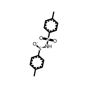 Cc1ccc([S+]([O-])NS(=O)(=O)c2ccc(C)cc2)cc1